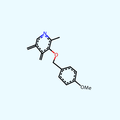 C=c1cnc(C)c(OCc2ccc(OC)cc2)c1=C